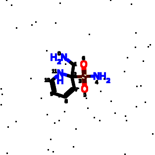 NCC1(S(N)(=O)=O)C=CC=CN1